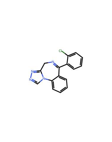 Clc1ccccc1C1=NCc2nncn2-c2ccccc21